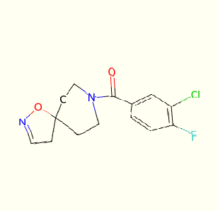 O=C(c1ccc(F)c(Cl)c1)N1CCC2(CC=NO2)CC1